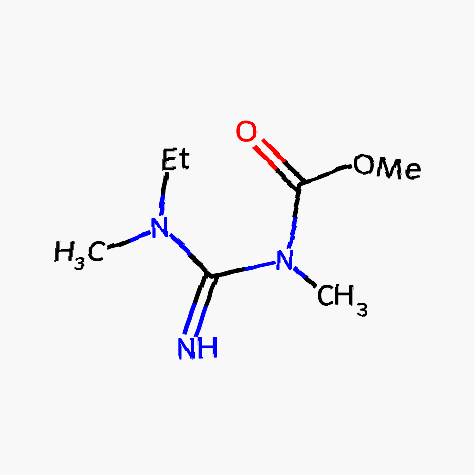 CCN(C)C(=N)N(C)C(=O)OC